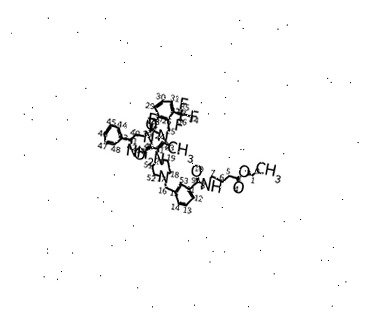 CCOC(=O)CCCNC(=O)c1cccc(CN2CCN(c3c(C)n(Cc4c(F)cccc4C(F)(F)F)c(=O)n(CC(N)c4ccccc4)c3=O)CC2)c1